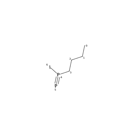 CCCCP(#P)I